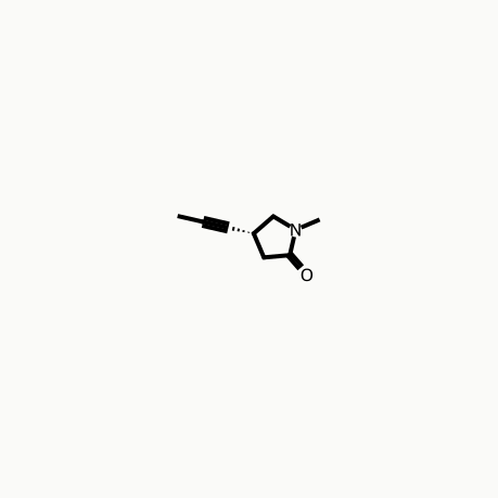 CC#C[C@H]1CC(=O)N(C)C1